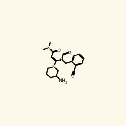 CN(C)C(=O)/C=C(\N(C=O)Cc1ccccc1C#N)N1CCCC(N)C1